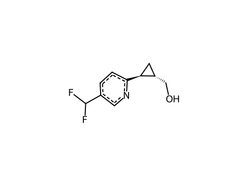 OC[C@H]1C[C@@H]1c1ccc(C(F)F)cn1